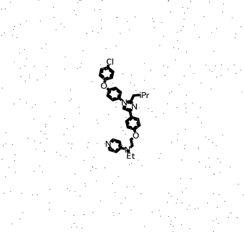 CCN(CCOc1ccc(-c2cn(-c3ccc(Oc4ccc(Cl)cc4)cc3)c(CC(C)C)n2)cc1)c1ccncc1